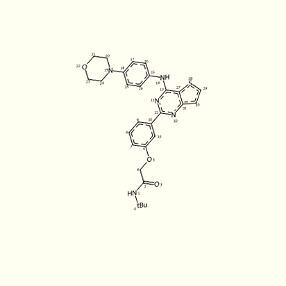 CC(C)(C)NC(=O)COc1cccc(-c2nc(Nc3ccc(N4CCOCC4)cc3)c3sccc3n2)c1